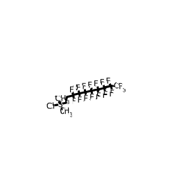 CS(C)(Cl)CCC(F)(F)C(F)(F)C(F)(F)C(F)(F)C(F)(F)C(F)(F)C(F)(F)C(F)(F)F